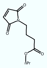 CCCOC(=O)CCCN1C(=O)C=CC1=O